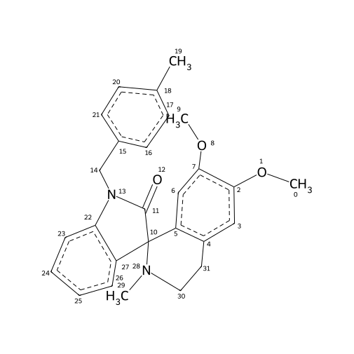 COc1cc2c(cc1OC)C1(C(=O)N(Cc3ccc(C)cc3)c3ccccc31)N(C)CC2